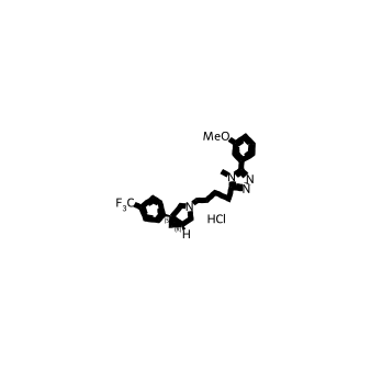 COc1cccc(-c2nnc(CCCCN3C[C@@H]4C[C@]4(c4ccc(C(F)(F)F)cc4)C3)n2C)c1.Cl